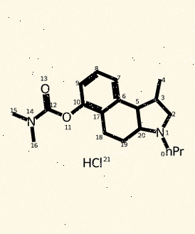 CCCN1CC(C)C2c3cccc(OC(=O)N(C)C)c3CCC21.Cl